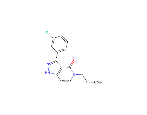 COCCn1ccc2[nH]nc(-c3cccc(F)c3)c2c1=O